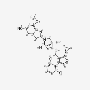 N#Cc1cc(OC(F)(F)F)c2nc(N3C[C@@H]4C[C@H]3C[C@H]4OCc3c(-c4c(Cl)cccc4Cl)noc3C3CC3)sc2c1